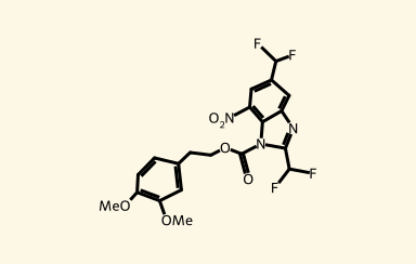 COc1ccc(CCOC(=O)n2c(C(F)F)nc3cc(C(F)F)cc([N+](=O)[O-])c32)cc1OC